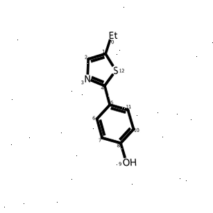 CCc1cnc(-c2ccc(O)cc2)s1